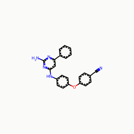 N#Cc1ccc(Oc2ccc(Nc3cc(-c4ccccc4)nc(N)n3)cc2)cc1